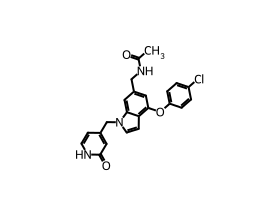 CC(=O)NCc1cc(Oc2ccc(Cl)cc2)c2ccn(Cc3cc[nH]c(=O)c3)c2c1